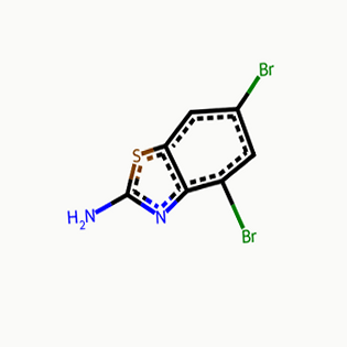 Nc1nc2c(Br)cc(Br)cc2s1